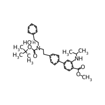 COC(=O)c1ccc(-c2ccc(CCN(C[C@H](O)c3ccccc3)C(=O)OC(C)(C)C)cc2)cc1NC(C)C